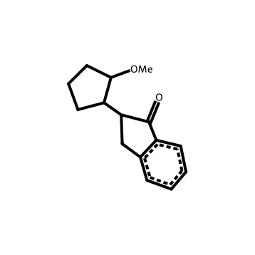 COC1CCCC1C1Cc2ccccc2C1=O